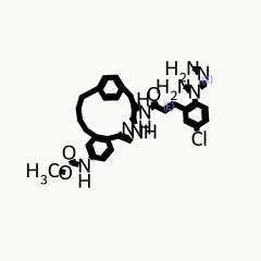 COC(=O)Nc1ccc2c(c1)CCCCc1ccc(cc1)C[C@H](NC(=O)/C=C/c1cc(Cl)ccc1N(N)/C=N\N)c1nc-2c[nH]1